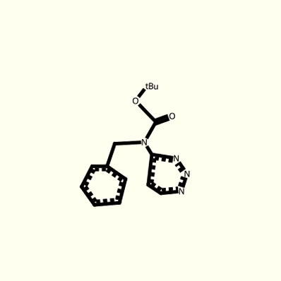 CC(C)(C)OC(=O)N(Cc1ccccc1)c1ccnnn1